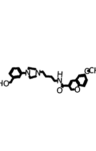 COc1ccc2c(c1)C=C(C(=O)NCCCCN1CCN(c3cccc(CO)c3)CC1)CO2